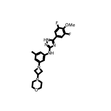 COc1c(F)cc(-c2nc(Nc3cc(C)cc(N4CC(N5CCOCC5)C4)c3)n[nH]2)cc1F